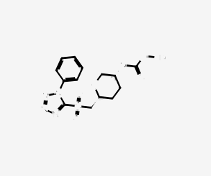 CC(C)(C)OC(=O)N[C@@H]1CC[C@@H](CS(=O)(=O)c2nnnn2-c2ccccc2)OC1